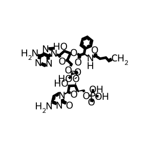 C=CCCC(=O)N[C@@H](C(=O)OC1C(COP(=O)(O)O[C@H]2[C@@H](O)[C@H](n3ccc(N)nc3=O)O[C@@H]2COP(=O)(O)O)OC(n2cnc3c(N)ncnc32)C1O)c1ccccc1